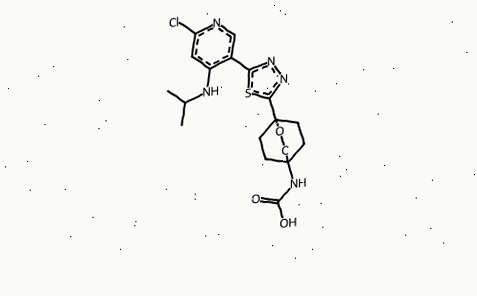 CC(C)Nc1cc(Cl)ncc1-c1nnc(C23CCC(NC(=O)O)(CC2)CO3)s1